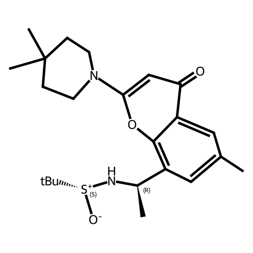 Cc1cc([C@@H](C)N[S@+]([O-])C(C)(C)C)c2oc(N3CCC(C)(C)CC3)cc(=O)c2c1